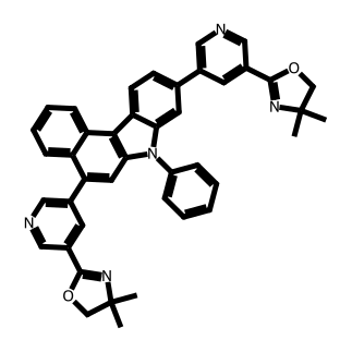 CC1(C)COC(c2cncc(-c3ccc4c5c6ccccc6c(-c6cncc(C7=NC(C)(C)CO7)c6)cc5n(-c5ccccc5)c4c3)c2)=N1